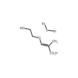 CC(=COCCO)C(=O)O.CCOCC